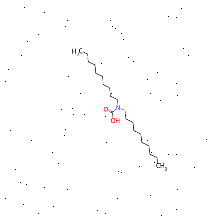 CCCCCCCCCCN(CCCCCCCCCC)C(=O)O